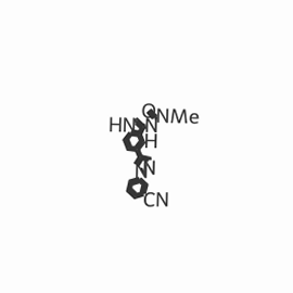 CNC(=O)Nc1c[nH]c2ccc(-c3cnn(-c4cccc(C#N)c4)c3)cc12